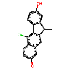 CC1c2cc(O)ccc2-c2c1cc1cc(O)ccc1c2Cl